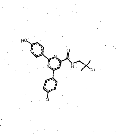 CC(C)(O)CNC(=O)c1cc(-c2ccc(Cl)cc2)nc(-c2ccc(O)nc2)n1